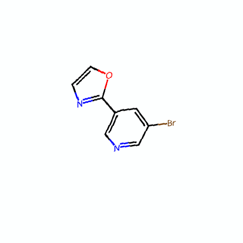 Brc1cncc(-c2ncco2)c1